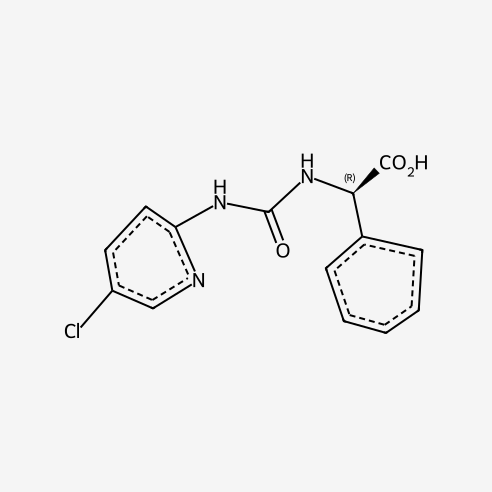 O=C(Nc1ccc(Cl)cn1)N[C@@H](C(=O)O)c1ccccc1